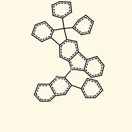 c1ccc(-c2cc3ccccc3nc2-n2c3ccccc3c3cc4c(cc32)-c2ccccc2C4(c2ccccc2)c2ccccc2)cc1